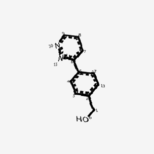 OCc1ccc(-c2cccnn2)cc1